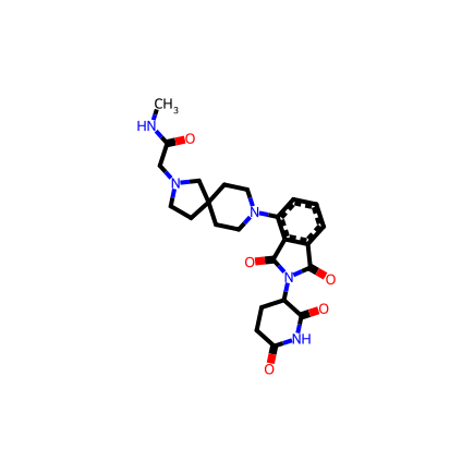 CNC(=O)CN1CCC2(CCN(c3cccc4c3C(=O)N(C3CCC(=O)NC3=O)C4=O)CC2)C1